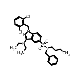 CCCCN(Cc1ccccc1)S(=O)(=O)c1ccc2c(c1)c(N(CC)CC)nn2Cc1c(Cl)cccc1Cl